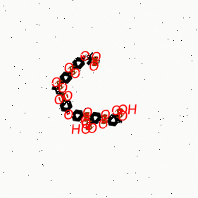 Cc1ccc(S(=O)(=O)c2ccc(S(=O)(=O)c3ccc(Oc4ccc(S(=O)(=O)CCC(C)S(=O)(=O)c5ccc(S(=O)(=O)c6ccc(O[C@@H](C)C(C)S(C)(=O)=O)cc6)cc5)cc4)cc3)c(S(=O)(=O)O)c2)cc1S(=O)(=O)O